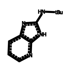 CC(C)(C)Nc1nc2cccnc2[nH]1